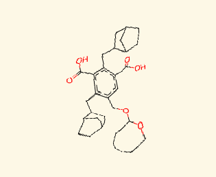 O=C(O)c1cc(COC2CCCCO2)c(CC2CC3CCC2C3)c(C(=O)O)c1CC1CC2CCC1C2